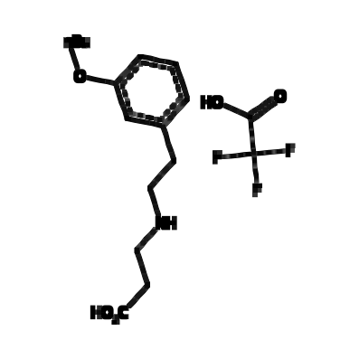 CCCCOc1cccc(CCNCCC(=O)O)c1.O=C(O)C(F)(F)F